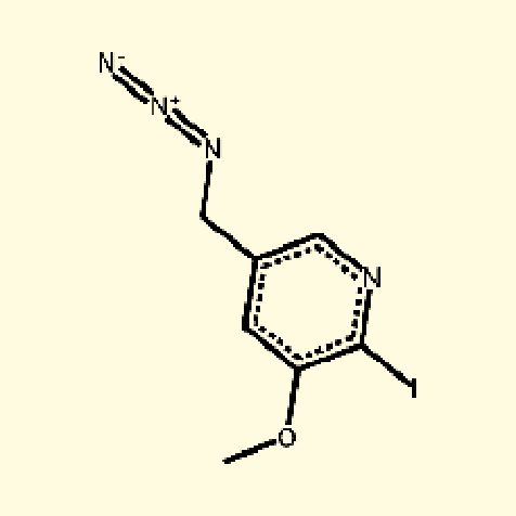 COc1cc(CN=[N+]=[N-])cnc1I